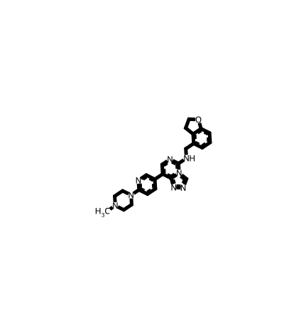 CN1CCN(c2ccc(-c3cnc(NCc4cccc5c4CCO5)n4cnnc34)cn2)CC1